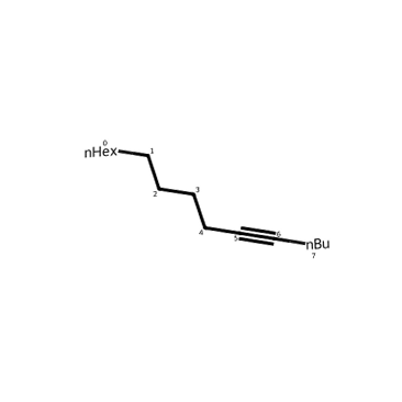 C[CH]CCCCCCCCC#CCCCC